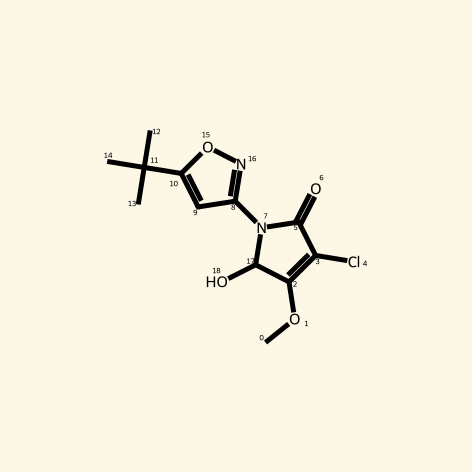 COC1=C(Cl)C(=O)N(c2cc(C(C)(C)C)on2)C1O